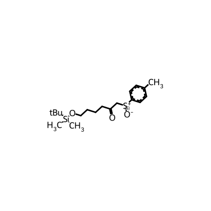 Cc1ccc([S@+]([O-])CC(=O)CCCCO[Si](C)(C)C(C)(C)C)cc1